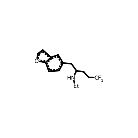 CCNC(CCC(F)(F)F)Cc1ccc2occc2c1